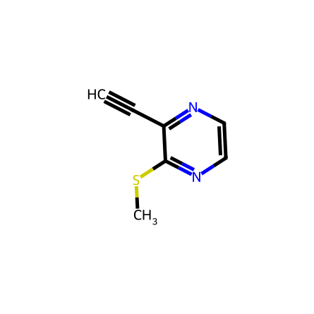 C#Cc1nccnc1SC